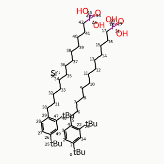 CC(C)(C)c1ccc(CCCCCCCCCCCCCP(=O)(O)O)c(C(C)(C)C)c1.CC(C)(C)c1ccc(CCCCCCCCCCCCCP(=O)(O)O)c(C(C)(C)C)c1.[Sr]